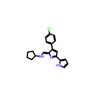 Clc1ccc(C2=CC(c3ccc[nH]3)=NC2=CNC2CCCC2)cc1